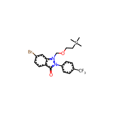 C[Si](C)(C)CCOCn1c2cc(Br)ccc2c(=O)n1-c1ccc(C(F)(F)F)cc1